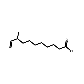 C=CC(C)CCCCCCCC(=O)O